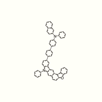 c1ccc(N(c2ccc(-c3ccc(-c4ccc5c(c4)c4cc6c(ccc7oc8ccccc8c76)cc4n5-c4ccccc4)cc3)cc2)c2ccc3ccccc3c2)cc1